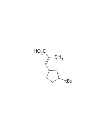 CC(=CC1CCC(C(C)(C)C)C1)C(=O)O